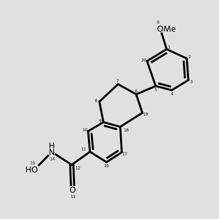 COc1cccc(C2CCc3cc(C(=O)NO)ccc3C2)c1